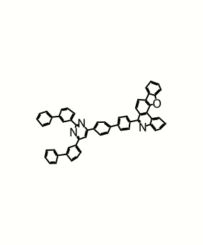 c1ccc(-c2cccc(-c3cc(-c4ccc(-c5ccc(-c6nc7ccccc7c7c6ccc6c8ccccc8oc67)cc5)cc4)nc(-c4cccc(-c5ccccc5)c4)n3)c2)cc1